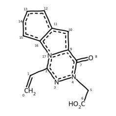 C=Cc1nn(CC(=O)O)c(=O)c2cc3ccccc3n12